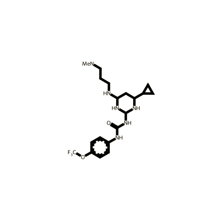 CNCCCNC1CC(C2CC2)NC(NC(=O)Nc2ccc(OC(F)(F)F)cc2)N1